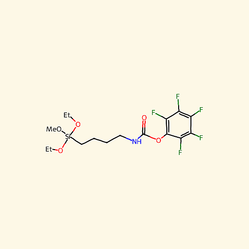 CCO[Si](CCCCNC(=O)Oc1c(F)c(F)c(F)c(F)c1F)(OC)OCC